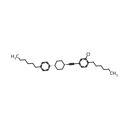 CCCCCCc1ccc([C@H]2CC[C@H](C#Cc3ccc(CCCCCC)c(Cl)c3)CC2)cc1